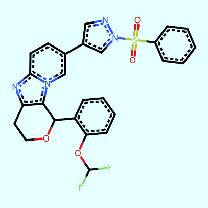 O=S(=O)(c1ccccc1)n1cc(-c2ccc3nc4c(n3c2)C(c2ccccc2OC(F)F)OCC4)cn1